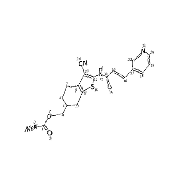 CNC(=O)OCC1CCc2c(sc(NC(=O)C=Cc3cccnc3)c2C#N)C1